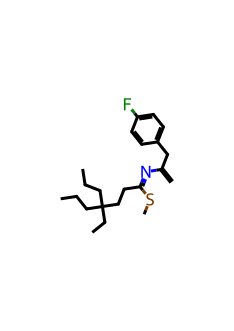 C=C(Cc1ccc(F)cc1)/N=C(/CCC(CC)(CCC)CCC)SC